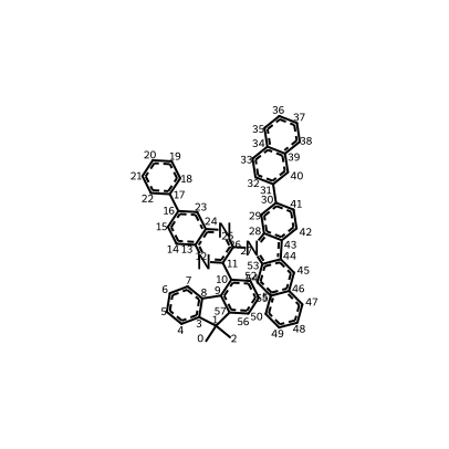 CC1(C)c2ccccc2-c2c(-c3nc4ccc(-c5ccccc5)cc4nc3-n3c4cc(-c5ccc6ccccc6c5)ccc4c4cc5ccccc5cc43)cccc21